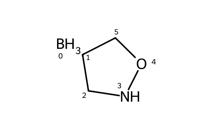 B.C1CNOC1